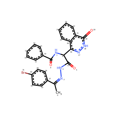 CC(=NNC(=O)C(NC(=O)c1ccccc1)c1n[nH]c(=O)c2ccccc12)c1ccc(Br)cc1